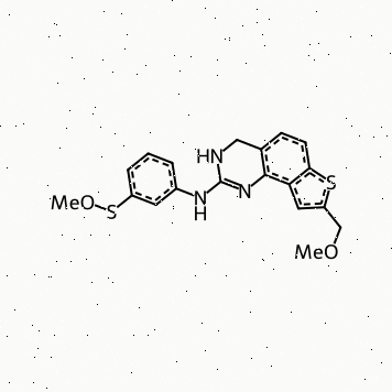 COCc1cc2c3c(ccc2s1)CNC(Nc1cccc(SOC)c1)=N3